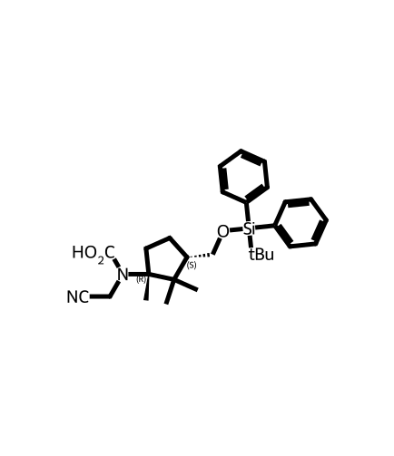 CC1(C)[C@@H](CO[Si](c2ccccc2)(c2ccccc2)C(C)(C)C)CC[C@@]1(C)N(CC#N)C(=O)O